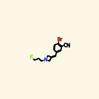 N#Cc1cc(C=C2CN(CCCF)C2)ccc1Br